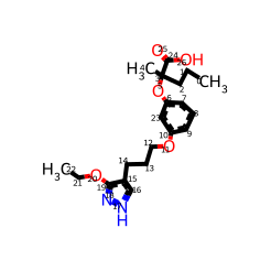 CCCC(C)(Oc1cccc(OCCCc2c[nH]nc2OCC)c1)C(=O)O